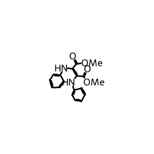 COC(=O)C(Nc1ccccc1)=C(Nc1ccccc1)C(=O)OC